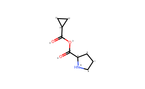 O=C(OC(=O)C1CCCN1)C1CC1